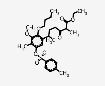 CCCCOc1c(C(C)CCC(=O)C(C)C(=O)OCC)cc(OS(=O)(=O)c2ccc(C)cc2)c(C)c1OC